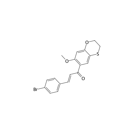 COc1cc2c(cc1C(=O)C=Cc1ccc(Br)cc1)SCCO2